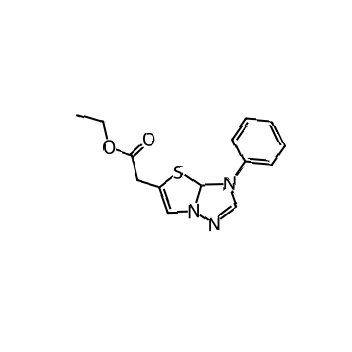 CCOC(=O)CC1=CN2N=CN(c3ccccc3)C2S1